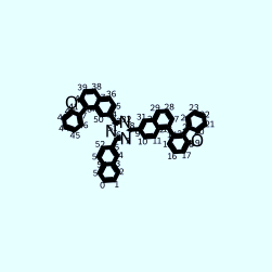 c1ccc2cc(-c3nc(-c4ccc5c(-c6cccc7oc8ccccc8c67)cccc5c4)nc(-c4ccc5ccc6oc7ccccc7c6c5c4)n3)ccc2c1